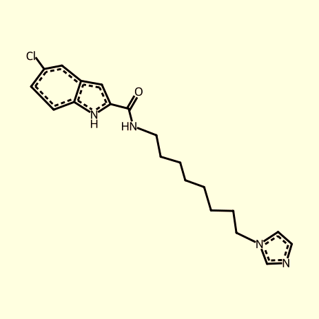 O=C(NCCCCCCCCn1ccnc1)c1cc2cc(Cl)ccc2[nH]1